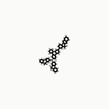 CC1(C)c2ccccc2-c2ccc(N(c3ccc(-c4ccc(-c5ccc6c(c5)C(C)(C)c5cc7ccccc7cc5-6)cc4)c(-c4ccccc4)c3)c3ccc4c(c3)C(C)(C)c3ccccc3-4)cc21